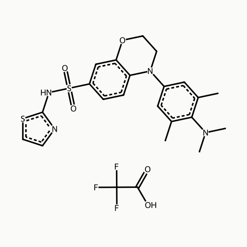 Cc1cc(N2CCOc3cc(S(=O)(=O)Nc4nccs4)ccc32)cc(C)c1N(C)C.O=C(O)C(F)(F)F